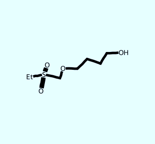 CCS(=O)(=O)COCCCCO